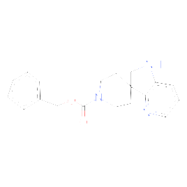 O=C(OCc1ccccc1)N1CCC2(CC1)CNc1cccnc12